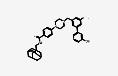 O=C(NCC12CC3CC(CC(C3)C1)C2)c1ccc(N2CCN(Cc3cc(-c4cncc(O)c4)cc(C(F)(F)F)c3)CC2)cc1